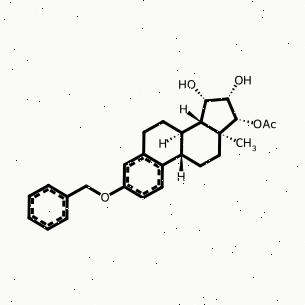 CC(=O)O[C@H]1[C@@H](O)[C@@H](O)[C@H]2[C@@H]3CCc4cc(OCc5ccccc5)ccc4[C@H]3CC[C@@]21C